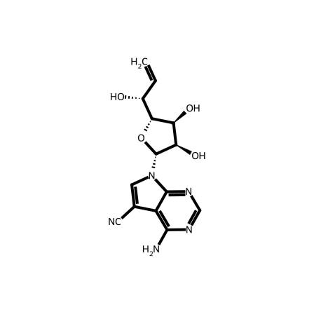 C=C[C@@H](O)[C@H]1O[C@@H](n2cc(C#N)c3c(N)ncnc32)[C@H](O)[C@@H]1O